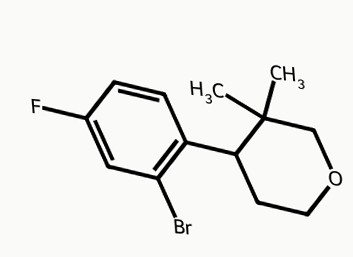 CC1(C)COCCC1c1ccc(F)cc1Br